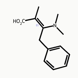 C/C(C(=O)O)=C(/Cc1ccccc1)N(C)C